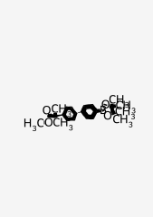 COC(=O)C(C)(C)[C@H]1CC[C@H](c2ccc(B3OC(C)(C)C(C)(C)O3)cc2)CC1